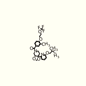 Cc1cc(C(=O)N2CCC3(c4cccc(OCC(C)C)n4)OCOC3C2)ccc1OCCOC(F)(F)F